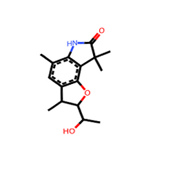 Cc1cc2c(c3c1NC(=O)C3(C)C)OC(C(C)O)C2C